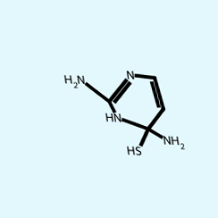 NC1=NC=CC(N)(S)N1